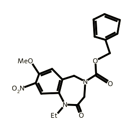 CCN1C(=O)CN(C(=O)OCc2ccccc2)Cc2cc(OC)c([N+](=O)[O-])cc21